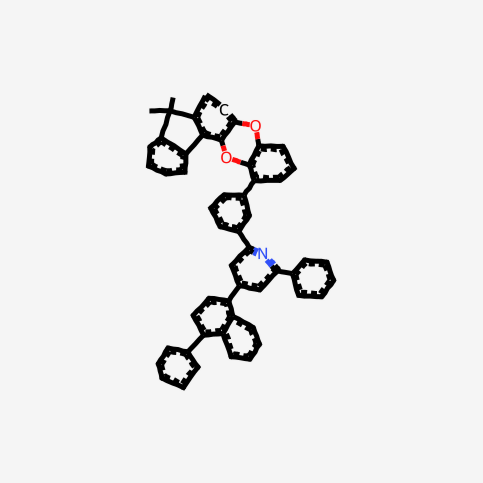 CC1(C)c2ccccc2-c2c1ccc1c2Oc2c(cccc2-c2cccc(-c3cc(-c4ccc(-c5ccccc5)c5ccccc45)cc(-c4ccccc4)n3)c2)O1